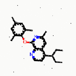 CCC(CC)c1ccnc2c(Oc3c(C)cc(C)cc3C)nc(C)cc12